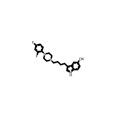 N#Cc1ccc2[nH]cc(CCCCN3CCN(c4ccc(F)cc4F)CC3)c2c1